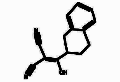 N#CC(C#N)=C(O)C1CCc2ccccc2C1